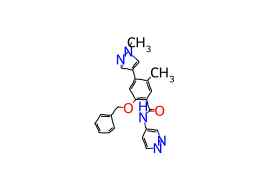 Cc1cc(C(=O)Nc2ccnnc2)c(OCc2ccccc2)cc1-c1cnn(C)c1